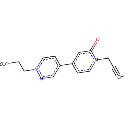 C#CCn1ccc(-c2cc[n+](CCC(=O)O)nc2)cc1=O